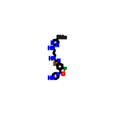 CSc1cnc(NCCCNc2nc3cc(F)c(C(=O)N4CCNCC4)cc3s2)nc1